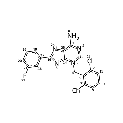 Nc1ncn(Cc2c(Cl)cccc2Cl)c2nc(-c3cccc(F)c3)nc1-2